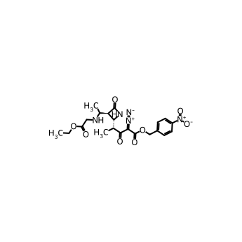 CCOC(=O)CNC(C)[C@H]1C(=O)N[C@@H]1C(C)C(=O)C(=[N+]=[N-])C(=O)OCc1ccc([N+](=O)[O-])cc1